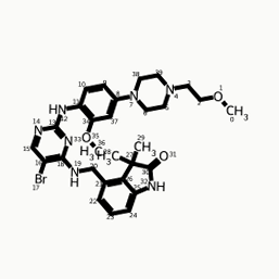 COCCN1CCN(c2ccc(Nc3ncc(Br)c(NCc4cccc5c4C(C)(C)C(=O)N5)n3)c(OC)c2)CC1